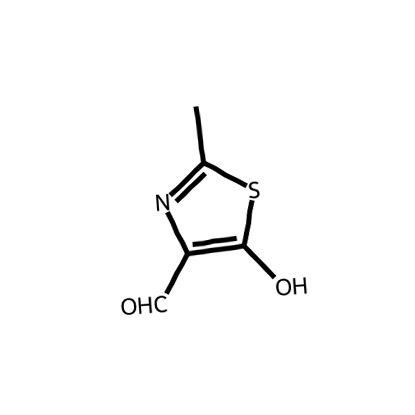 Cc1nc(C=O)c(O)s1